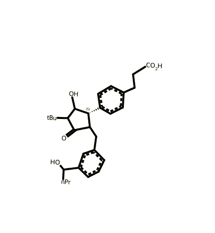 CCCC(O)c1cccc(CC2C(=O)C(C(C)(C)C)C(O)[C@@H]2c2ccc(CCC(=O)O)cc2)c1